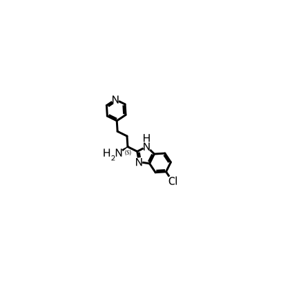 N[C@@H](CCc1ccncc1)c1nc2cc(Cl)ccc2[nH]1